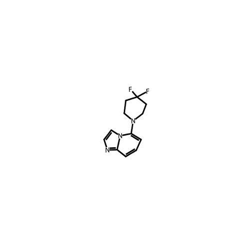 FC1(F)CCN(c2cccc3nccn23)CC1